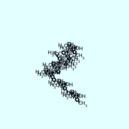 CC(C)C1(C)N=C(c2nc3ccccc3cc2C(=O)O)NC1=O.CC(C)C1(C)N=C(c2ncccc2C(=O)O)NC1=O.CCc1cnc(C2=NC(C)(C(C)C)C(=O)N2)c(C(=O)O)c1.COCc1cnc(C2=NC(C)(C(C)C)C(=O)N2)c(C(=O)O)c1.Cc1ccc(C(=O)O)c(C2=NC(C)(C(C)C)C(=O)N2)c1.Cc1ccc(C2=NC(C)(C(C)C)C(=O)N2)c(C(=O)O)c1.Cc1cnc(C2=NC(C)(C(C)C)C(=O)N2)c(C(=O)O)c1